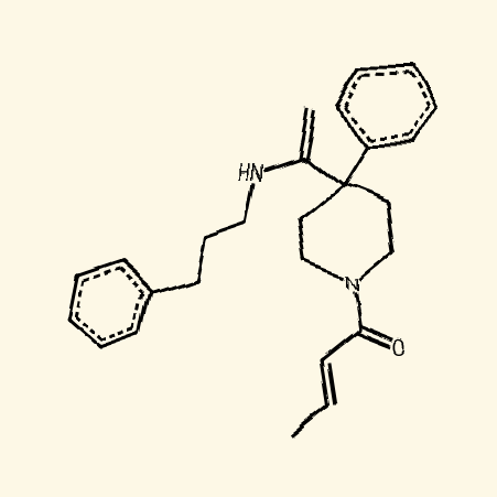 C=C(NCCCc1ccccc1)C1(c2ccccc2)CCN(C(=O)/C=C/C)CC1